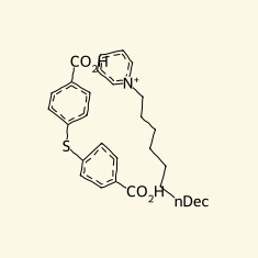 CCCCCCCCCCCCCCCC[n+]1ccccc1.O=C(O)c1ccc(Sc2ccc(C(=O)O)cc2)cc1